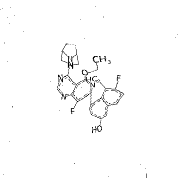 C#Cc1c(F)ccc2cc(O)cc(-c3nc(OCC)c4c(N5CC6CCC(C5)N6)ncnc4c3F)c12